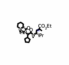 CCOC(=O)/C(C)=C/[C@H](C(C)C)N(C)C(=O)[C@H](NC(=O)[C@H]1CCCCN1C(C)C)C1CCCC1